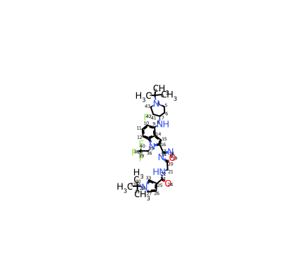 CC(C)(C)N1CC[C@@H](Nc2cccc3c2cc(-c2noc(CNC(=O)c4ccn(C(C)(C)C)c4)n2)n3CC(F)(F)F)[C@H](F)C1